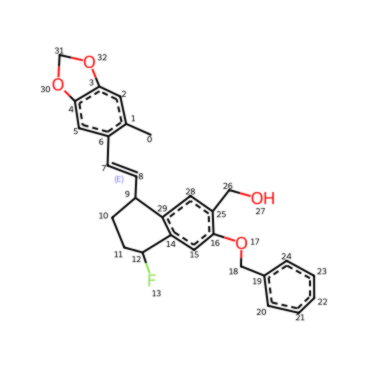 Cc1cc2c(cc1/C=C/C1CCC(F)c3cc(OCc4ccccc4)c(CO)cc31)OCO2